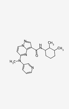 CC1CCCC(NC(=O)c2cnn3ccc(N(C)c4cccnc4)nc23)C1C